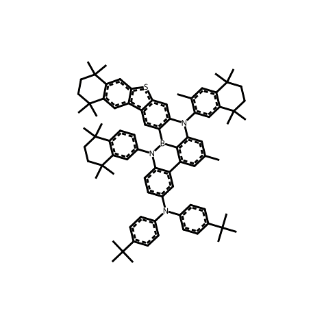 Cc1cc2c3c(c1)N(c1cc4c(cc1C)C(C)(C)CCC4(C)C)c1cc4sc5cc6c(cc5c4cc1B3N(c1ccc3c(c1)C(C)(C)CCC3(C)C)c1ccc(N(c3ccc(C(C)(C)C)cc3)c3ccc(C(C)(C)C)cc3)cc1-2)C(C)(C)CCC6(C)C